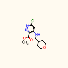 COC(=O)c1nnc(Cl)cc1NCC1CCOCC1